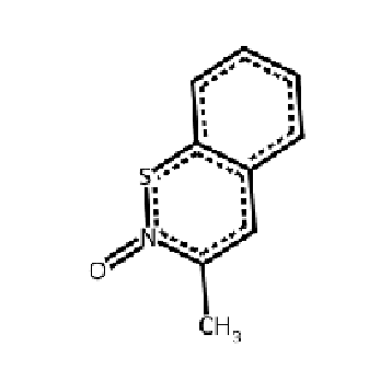 Cc1cc2ccccc2s[n+]1=O